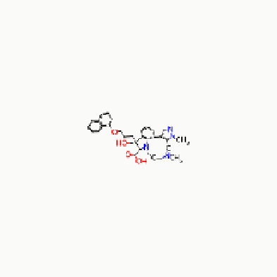 CN1CCCN2c3c(cccc3C(CO)(CCCOc3cccc4ccccc34)C2C(=O)O)-c2cnn(C)c2C1